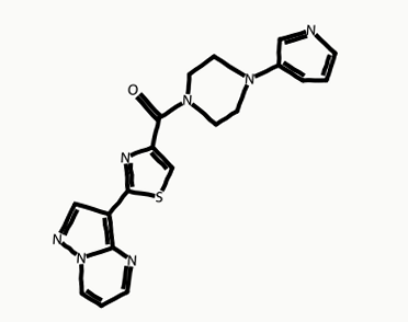 O=C(c1csc(-c2cnn3cccnc23)n1)N1CCN(c2cccnc2)CC1